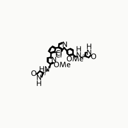 COc1cc(-c2nccc(-c3cccc(-c4ccc(CNC[C@@H]5CNC(=O)C5)c(OC)n4)c3Cl)c2Cl)ccc1CNC[C@H]1CNC(=O)C1